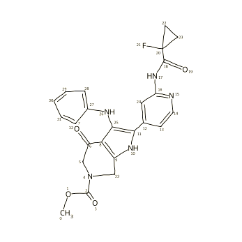 COC(=O)N1CC(=O)c2c([nH]c(-c3ccnc(NC(=O)C4(F)CC4)c3)c2Nc2ccccc2)C1